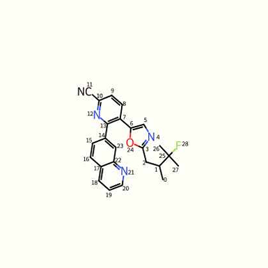 CC(Cc1ncc(-c2ccc(C#N)nc2-c2ccc3cccnc3c2)o1)C(C)(C)F